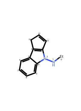 CCNn1c2c(c3ccccc31)CC=C2